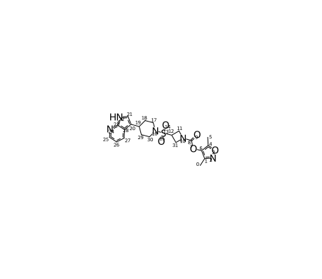 Cc1noc(C)c1OC(=O)N1CC(S(=O)(=O)N2CCC(c3c[nH]c4ncccc34)CC2)C1